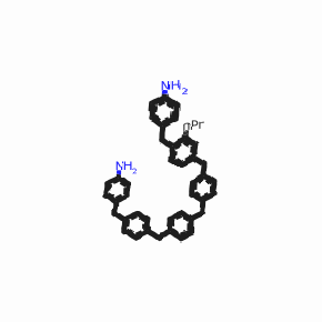 CCCc1cc(Cc2ccc(Cc3ccc(Cc4ccc(Cc5ccc(N)cc5)cc4)cc3)cc2)ccc1Cc1ccc(N)cc1